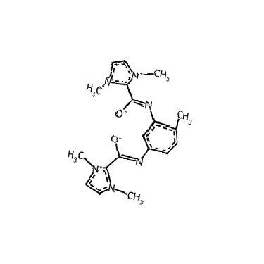 Cc1ccc(/N=C(\[O-])c2n(C)cc[n+]2C)cc1N=C([O-])c1n(C)cc[n+]1C